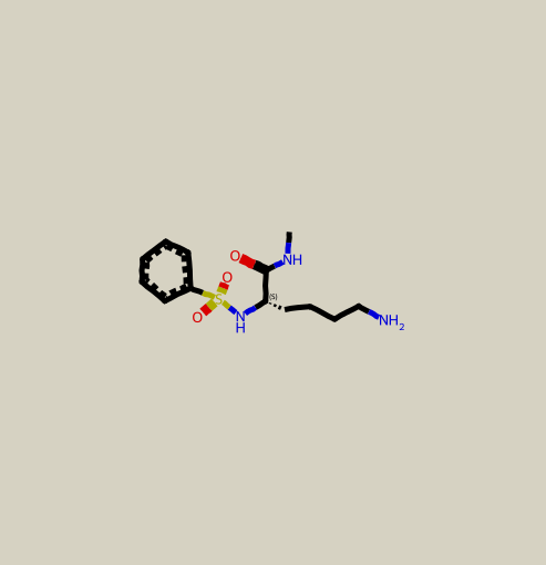 CNC(=O)[C@H](CCCCN)NS(=O)(=O)c1ccccc1